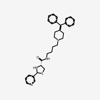 O=C(NCCCCN1CCC(=C(c2ccccc2)c2ccccc2)CC1)[C@@H]1CSC(c2cccnc2)N1